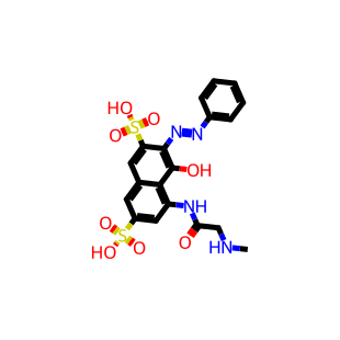 CNCC(=O)Nc1cc(S(=O)(=O)O)cc2cc(S(=O)(=O)O)c(N=Nc3ccccc3)c(O)c12